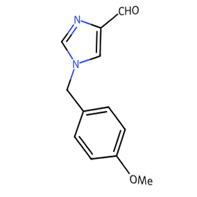 COc1ccc(Cn2cnc(C=O)c2)cc1